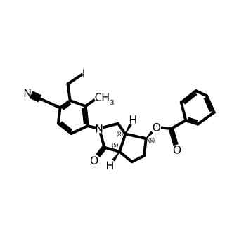 Cc1c(N2C[C@@H]3[C@@H](OC(=O)c4ccccc4)CC[C@@H]3C2=O)ccc(C#N)c1CI